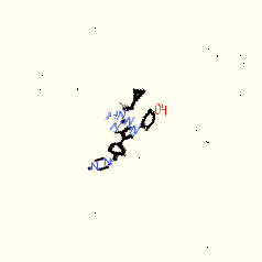 C[C@H](CC1CC1)Nc1ncc2c(-c3ccc(CN4CCN(C)CC4)cc3)cn([C@H]3CC[C@H](O)CC3)c2n1